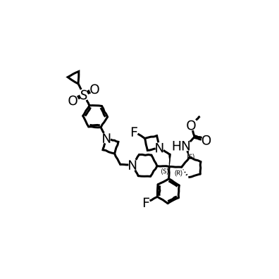 COC(=O)N[C@H]1CCC[C@@H]1[C@](CN1CC(F)C1)(c1cccc(F)c1)C1CCN(CC2CN(c3ccc(S(=O)(=O)C4CC4)cc3)C2)CC1